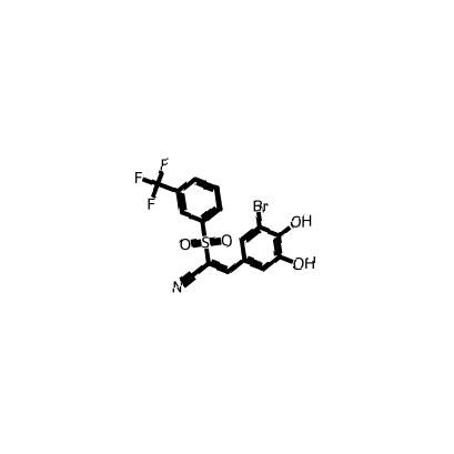 N#CC(=Cc1cc(O)c(O)c(Br)c1)S(=O)(=O)c1cccc(C(F)(F)F)c1